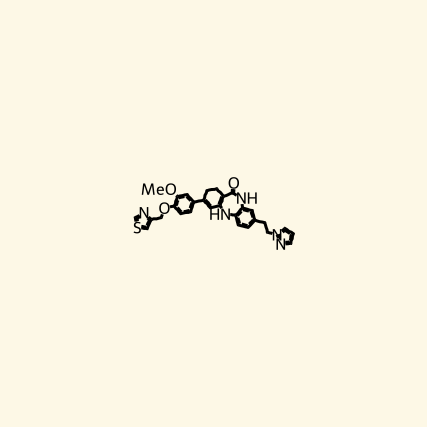 COc1cc(C2=CC3=C(CC2)C(=O)Nc2cc(CCn4cccn4)ccc2N3)ccc1OCc1cscn1